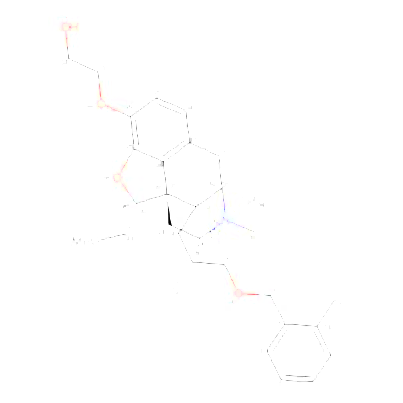 CC[C@@]1(C[C@@H](C)COCc2ccccc2C)[C@H]2Cc3ccc(OCCO)c4c3[C@@]1(CCN2C)[C@H](COC)O4